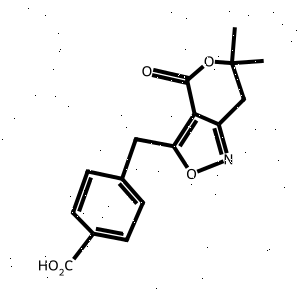 CC1(C)Cc2noc(Cc3ccc(C(=O)O)cc3)c2C(=O)O1